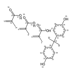 C=C(C)C(=O)O.C=C(C)C(=O)O.C=C(C)C(=O)O.CC(C)(c1ccc(O)cc1)c1ccc(O)cc1